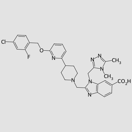 Cc1nnc(Cn2c(CN3CCC(c4cccc(OCc5ccc(Cl)cc5F)n4)CC3)nc3ccc(C(=O)O)cc32)n1C